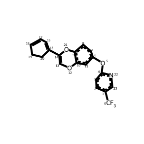 FC(F)(F)c1ccc(Oc2ccc3c(c2)OC=C(C2=CC=CCC2)O3)nc1